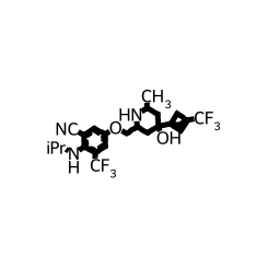 CC(C)Nc1c(C#N)cc(OCC2CC(O)(C34CC(C(F)(F)F)(C3)C4)CC(C)N2)cc1C(F)(F)F